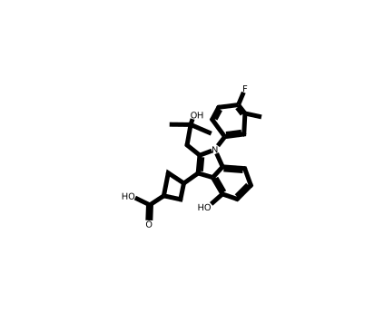 Cc1cc(-n2c(CC(C)(C)O)c(C3CC(C(=O)O)C3)c3c(O)cccc32)ccc1F